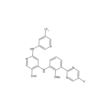 COc1c(Nc2cc(Nc3cncc(C(F)(F)F)c3)ncc2C=O)cccc1-c1ncc(F)cn1